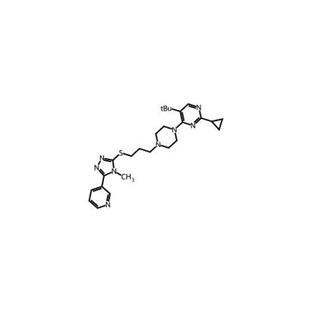 Cn1c(SCCCN2CCN(c3nc(C4CC4)ncc3C(C)(C)C)CC2)nnc1-c1cccnc1